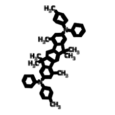 Cc1ccc(N(c2ccccc2)c2cc(C)c3c(c2)C(C)(C)c2cc4c(cc2-3)C(C)(C)c2cc(N(c3ccccc3)c3ccc(C)cc3)cc(C)c2-4)cc1